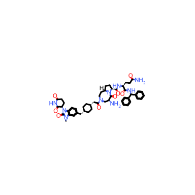 Cn1c(=O)n([C@H]2CCC(=O)NC2=O)c2ccc(C[C@H]3CC[C@@H](CC(=O)N4CC[C@H]5CC[C@@H](C(=O)N[C@@H](CCC(N)=O)C(=O)NC(c6ccccc6)c6ccccc6)N5C(=O)[C@@H](N)C4)CC3)cc21